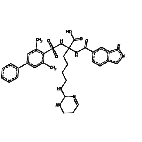 Cc1cc(-c2ccccc2)cc(C)c1S(=O)(=O)NC(CCCCNC1N=CCCN1)(NC(=O)c1ccc2cn[nH]c2c1)C(=O)O